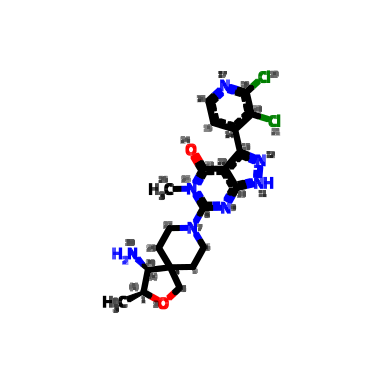 C[C@@H]1OCC2(CCN(c3nc4[nH]nc(-c5ccnc(Cl)c5Cl)c4c(=O)n3C)CC2)[C@@H]1N